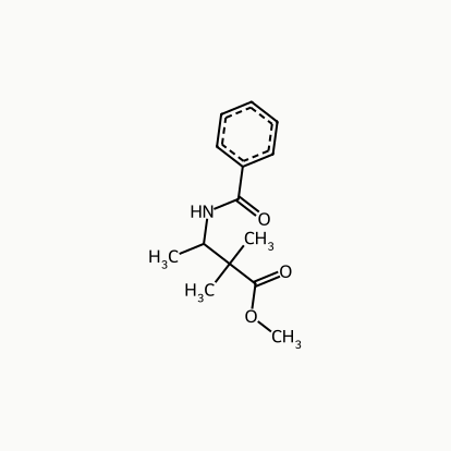 COC(=O)C(C)(C)C(C)NC(=O)c1ccccc1